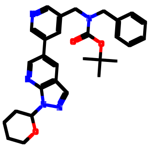 CC(C)(C)OC(=O)N(Cc1ccccc1)Cc1cncc(-c2cnc3c(cnn3C3CCCCO3)c2)c1